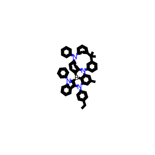 CCc1ccc(N2c3cc(C)cc4c3B(c3ccc5cc3N4c3cccc(c3)C(C)(C)c3cccc(c3)N5c3ccccc3)c3c2c2ccccc2n3-c2ccccc2)cc1